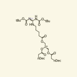 CCCCCCCCCCCC(=O)OC[C@H](COC(=O)CCCCN/C(=N\C(=O)OC(C)(C)C)NC(=O)OC(C)(C)C)OC(=O)CCCCCCCCCCC